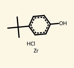 CC(C)(C)c1ccc(O)cc1.Cl.[Zr]